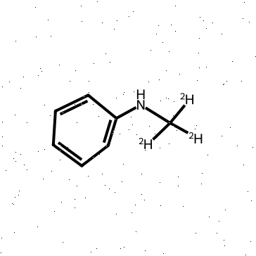 [2H]C([2H])([2H])Nc1ccccc1